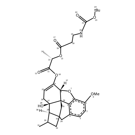 COc1ccc2c3c1O[C@H]1C(OC(=O)[C@H](C)OC(=O)CCNC(=O)OC(C)(C)C)=CC[C@@]4(O)[C@@H]5C(C)CC5(C2)C[C@]314